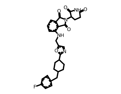 O=C1CCC(N2C(=O)c3cccc(NCc4cnc(C5CCC(Cc6ccc(F)cc6)CC5)o4)c3C2=O)C(=O)N1